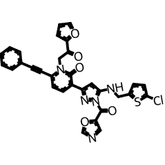 O=C(Cn1c(C#Cc2ccccc2)ccc(-c2cc(NCc3ccc(Cl)s3)n(C(=O)c3cnco3)n2)c1=O)c1ccco1